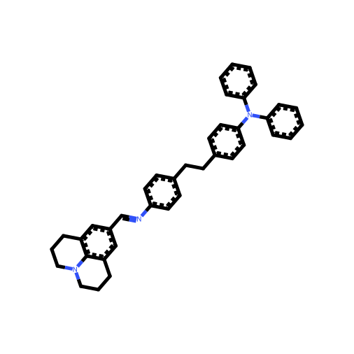 C(=N\c1ccc(CCc2ccc(N(c3ccccc3)c3ccccc3)cc2)cc1)/c1cc2c3c(c1)CCCN3CCC2